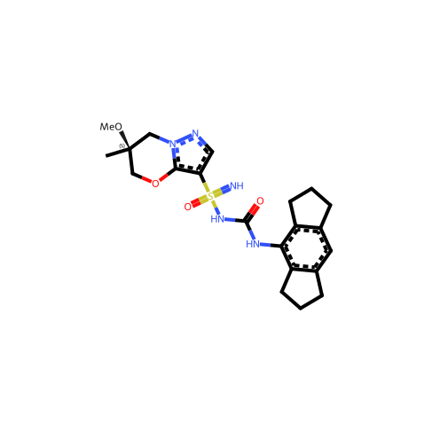 CO[C@]1(C)COc2c(S(=N)(=O)NC(=O)Nc3c4c(cc5c3CCC5)CCC4)cnn2C1